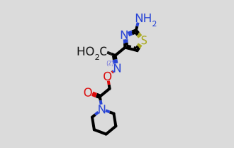 Nc1nc(/C(=N/OCC(=O)N2CCCCC2)C(=O)O)cs1